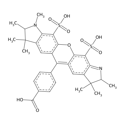 CC1N=c2c(cc3c(c2S(=O)(=O)O)Oc2c(cc4c(c2S(=O)(=O)O)N(C)C(C)C4(C)C)C=3c2ccc(C(=O)O)cc2)C1(C)C